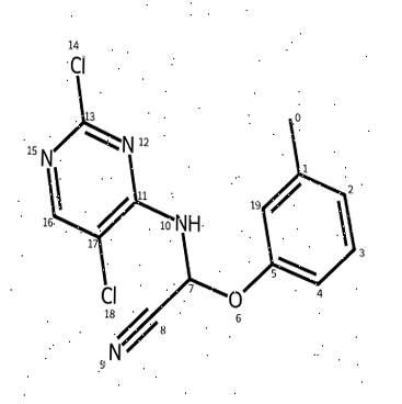 Cc1cccc(OC(C#N)Nc2nc(Cl)ncc2Cl)c1